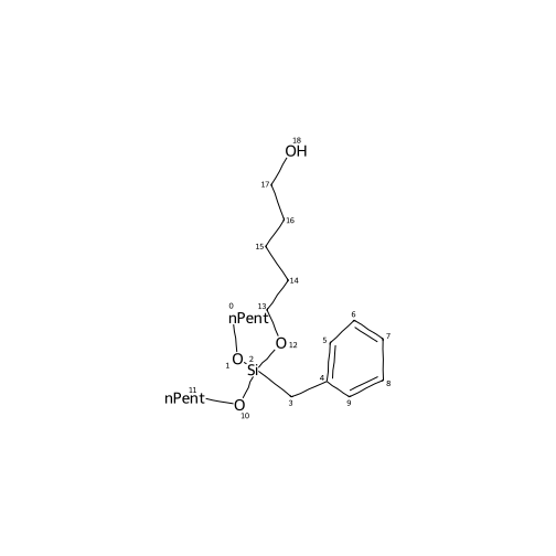 CCCCCO[Si](Cc1ccccc1)(OCCCCC)OCCCCCO